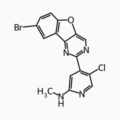 CNc1cc(-c2ncc3oc4ccc(Br)cc4c3n2)c(Cl)cn1